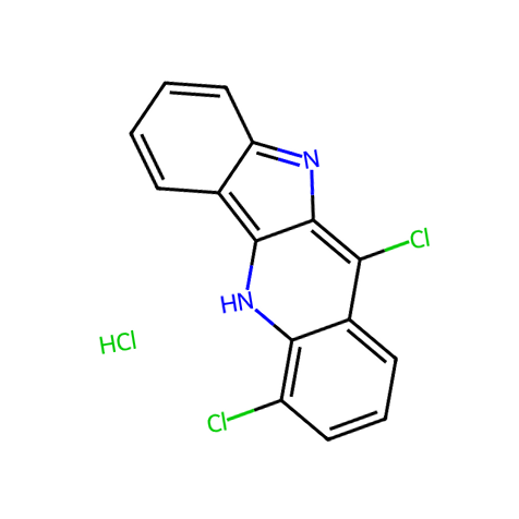 Cl.Clc1c2nc3ccccc3c-2[nH]c2c(Cl)cccc12